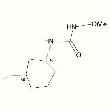 CONC(=O)N[C@@H]1CCC[C@H](C)C1